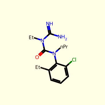 CCCN(C(=O)N(CC)C(=N)N)c1c(Cl)cccc1CC